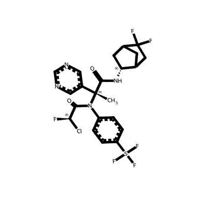 C[C@](C(=O)N[C@@H]1CC2CC1CC2(F)F)(c1cncnc1)N(C(=O)[C@H](F)Cl)c1ccc(S(F)(F)F)cc1